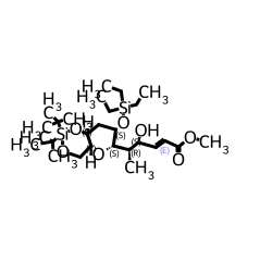 CC[Si](CC)(CC)O[C@H]1C[C@H]2O[Si](C(C)(C)C)(C(C)(C)C)OC[C@H]2O[C@H]1[C@H](C)[C@@H](O)/C=C/C(=O)OC